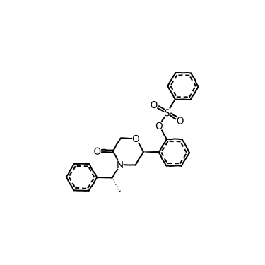 C[C@H](c1ccccc1)N1C[C@H](c2ccccc2OS(=O)(=O)c2ccccc2)OCC1=O